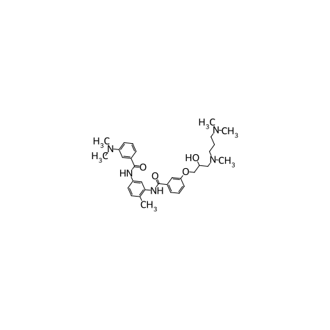 Cc1ccc(NC(=O)c2cccc(N(C)C)c2)cc1NC(=O)c1cccc(OCC(O)CN(C)CCCN(C)C)c1